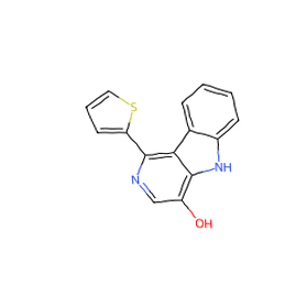 Oc1cnc(-c2cccs2)c2c1[nH]c1ccccc12